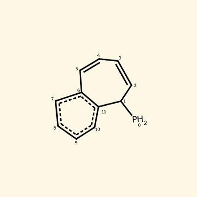 PC1C=CC=Cc2ccccc21